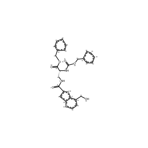 O=C(N[C@H](CNC(=O)c1cc2nccc(CO)c2s1)C(=O)OCc1ccccc1)OCc1ccccc1